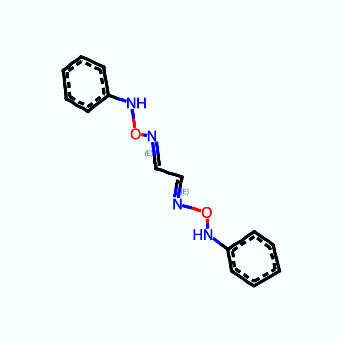 C(/C=N/ONc1ccccc1)=N\ONc1ccccc1